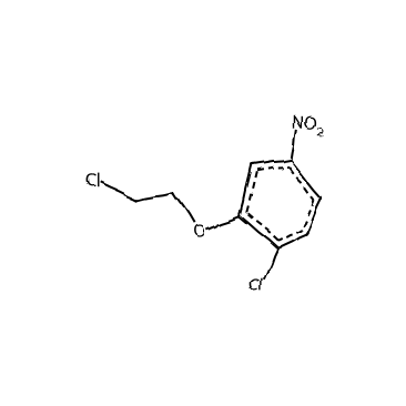 O=[N+]([O-])c1ccc(Cl)c(OCCCl)c1